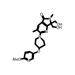 COc1ccc(OC2CCN(c3nc4c(cc3C)C(=O)N(C)C4(CO)CO)CC2)cn1